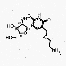 NCCOCc1cn([C@@H]2O[C@H](CO)[C@@H](O)[C@H]2O)c(=O)[nH]c1=O